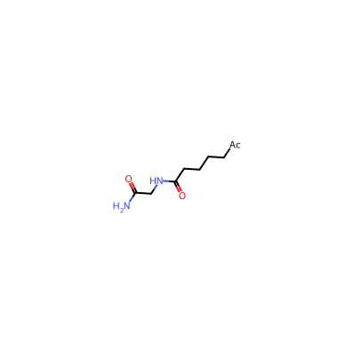 CC(=O)CCCCC(=O)NCC(N)=O